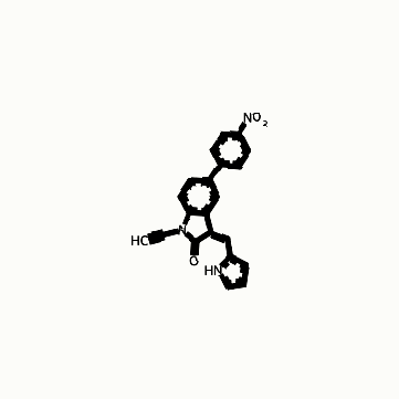 C#CN1C(=O)C(=Cc2ccc[nH]2)c2cc(-c3ccc([N+](=O)[O-])cc3)ccc21